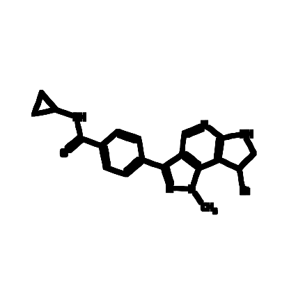 CCC1CNc2ncc3c(-c4ccc(C(=O)NC5CC5)cc4)nn(C)c3c21